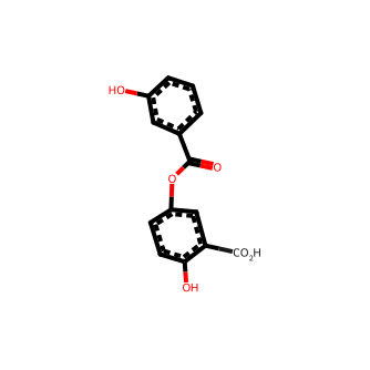 O=C(Oc1ccc(O)c(C(=O)O)c1)c1cccc(O)c1